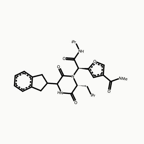 CNC(=O)c1coc([C@H](C(=O)NC(C)C)N2C(=O)C(C3Cc4ccccc4C3)NC(=O)[C@H]2CC(C)C)c1